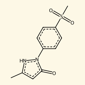 Cc1cc(=O)n(-c2ccc(S(C)(=O)=O)cc2)[nH]1